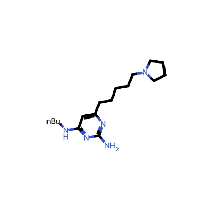 CCCCNc1cc(CCCCCN2CCCC2)nc(N)n1